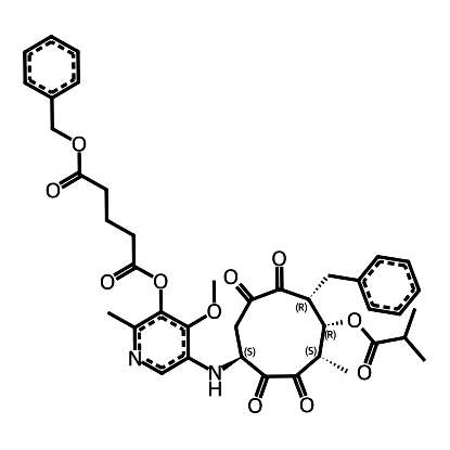 COc1c(N[C@H]2CC(=O)C(=O)[C@H](Cc3ccccc3)[C@H](OC(=O)C(C)C)[C@H](C)C(=O)C2=O)cnc(C)c1OC(=O)CCCC(=O)OCc1ccccc1